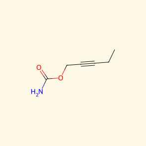 CCC#CCOC(N)=O